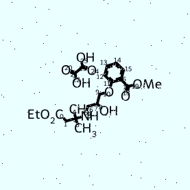 CCOC(=O)CC(C)(C)NCC(O)COc1ccccc1C(=O)OC.O=C(O)C(=O)O